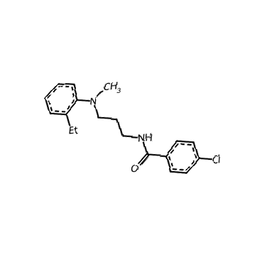 CCc1ccccc1N(C)CCCNC(=O)c1ccc(Cl)cc1